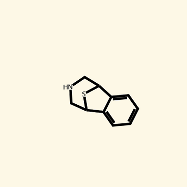 c1ccc2c(c1)C1CNCC2S1